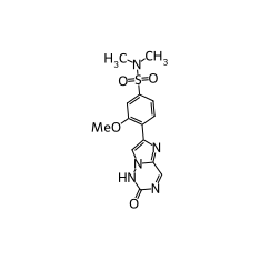 COc1cc(S(=O)(=O)N(C)C)ccc1-c1cn2[nH]c(=O)ncc2n1